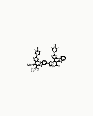 CNC(=O)c1c(N2CCC(c3ccc4c(c3)nc3c(C(=O)NC(C)C)c(NC)c5cnc(N6C[C@@H](C)N[C@@H](C)C6)nc5n34)C2)c2cnc(N3C[C@@H](C)N[C@@H](C)C3)nc2n2c1nc1ccccc12